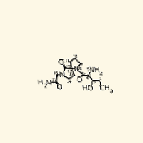 CCC(O)[C@H](N)C(=O)N1CCCC12CCN(CC(N)=O)C2=O